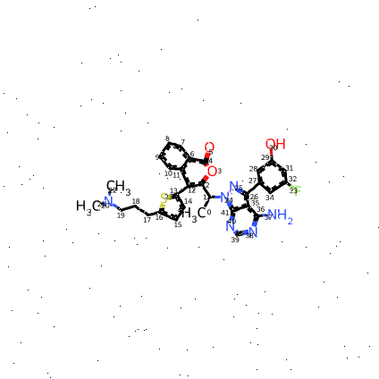 CC(c1oc(=O)c2ccccc2c1-c1ccc(CCCN(C)C)s1)n1nc(-c2cc(O)cc(F)c2)c2c(N)ncnc21